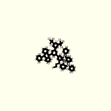 CCCCc1cc(-c2cc(-c3cc(C(C)(C)C)cc(C(C)(C)C)c3)cc(-c3c4ccccc4c(-c4ccccc4)c4ccccc34)c2)cc2c1B(c1ccccc1Nc1ccccc1)c1ccccc1N2c1ccccc1